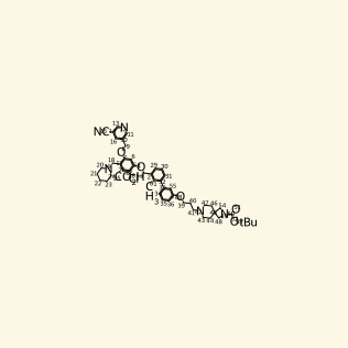 Cc1c(COc2cc(OCc3cncc(C#N)c3)c(CN3CCCC[C@H]3C(=O)O)cc2Cl)cccc1-c1cccc(OCCCN2CCC3(CC2)CN(C(=O)OC(C)(C)C)C3)c1